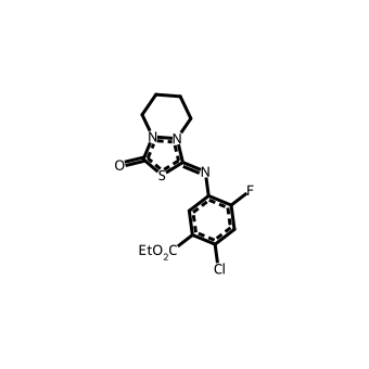 CCOC(=O)c1cc(N=c2sc(=O)n3n2CCCC3)c(F)cc1Cl